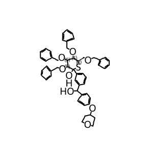 OC(c1ccc(OC2CCOCC2)cc1)c1cccc(C2(O)S[C@H](COCc3ccccc3)[C@@H](OCc3ccccc3)[C@H](OCc3ccccc3)[C@H]2OCc2ccccc2)c1